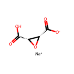 O=C(O)[C@H]1O[C@H]1C(=O)[O-].[Na+]